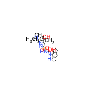 CN(C)CCn1nc(S(=O)(=O)NC(O)Nc2c3c(cc4c2CCC4)CCC3)cc1C(C)(C)O